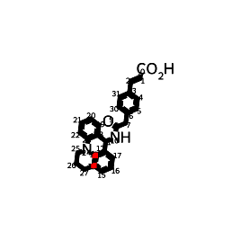 O=C(O)C=Cc1ccc(CC(=O)NC(c2ccccc2)c2ccccc2N2CCCCC2)cc1